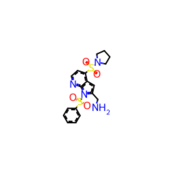 NCc1cc2c(S(=O)(=O)N3CCCC3)ccnc2n1S(=O)(=O)c1ccccc1